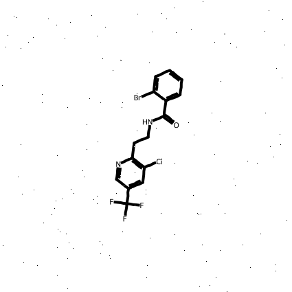 O=C(NCCc1ncc(C(F)(F)F)cc1Cl)c1ccccc1Br